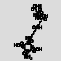 NC(=O)CN1CCN(CC(=O)O)CCN(CC(=O)NCCCCCC(=O)NCCCC[C@H](NC(=O)N[C@@H](CCC(=O)O)C(=O)O)C(=O)O)CCN(CC(=O)O)CC1